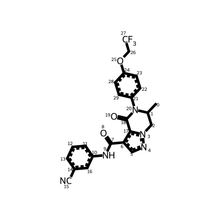 CC1Cn2ncc(C(=O)Nc3cccc(C#N)c3)c2C(=O)N1c1ccc(OCC(F)(F)F)cc1